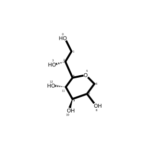 OC[C@@H](O)C1OCC(O)[C@@H](O)[C@@H]1O